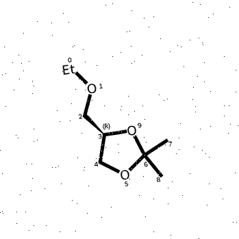 CCOC[C@@H]1COC(C)(C)O1